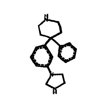 c1ccc(C2(c3cccc(N4CCNC4)c3)CCNCC2)cc1